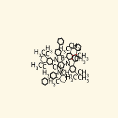 Cc1cc2c(cc1N1c3ccc(-c4ccccc4)cc3B3c4cc5c(cc4N(c4ccc(C(C)(C)C)cc4-c4ccccc4)c4cc(N6c7ccc(-c8ccccc8)cc7C7(C)CCCCC67C)cc1c43)C(C)(C)c1ccccc1C5(C)C)C(C)(C)CCC2(C)C